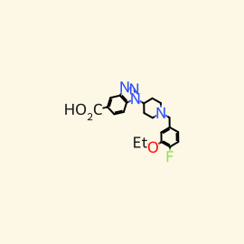 CCOc1cc(CN2CCC(n3nnc4cc(C(=O)O)ccc43)CC2)ccc1F